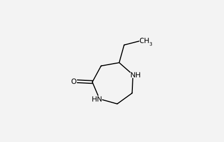 CCC1CC(=O)NCCN1